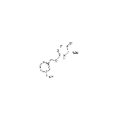 COc1cccc(COC(=O)NC(C(=O)F)C(C)(C)C)c1